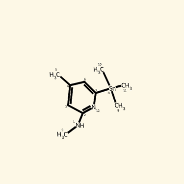 CNc1cc(C)c[c]([Sn]([CH3])([CH3])[CH3])n1